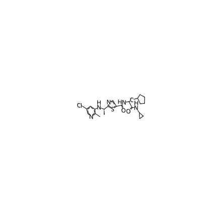 Cc1ncc(Cl)cc1N[C@H](C)c1ncc(C(=O)N[C@@H](CC2CCCC2)C(=O)NC2CC2)s1